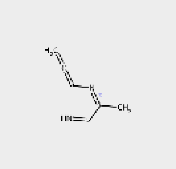 C=C=C/N=C(/C)C=N